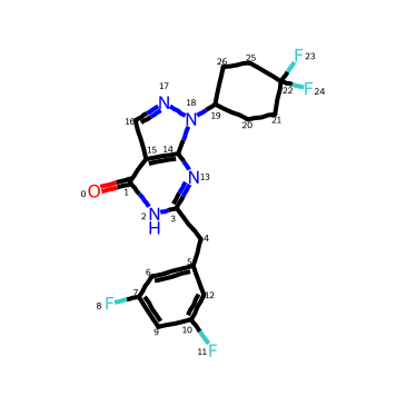 O=c1[nH]c(Cc2cc(F)cc(F)c2)nc2c1cnn2C1CCC(F)(F)CC1